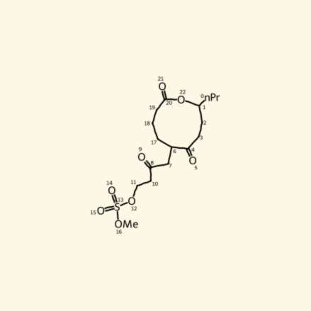 CCCC1CCC(=O)C(CC(=O)CCOS(=O)(=O)OC)CCCC(=O)O1